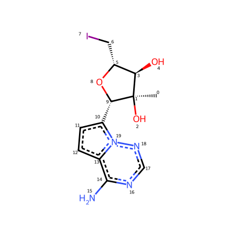 C[C@@]1(O)[C@H](O)[C@@H](CI)O[C@H]1c1ccc2c(N)ncnn12